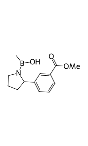 COC(=O)c1cccc(C2CCCN2B(C)O)c1